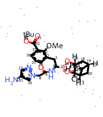 COc1c(CC(NC(=O)Cn2cc(N)cn2)B2O[C@@H]3C[C@@H]4C[C@@H](C4(C)C)[C@]3(C)O2)cccc1C(=O)OC(C)(C)C